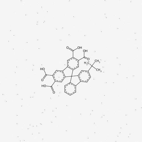 CC(C)(C)c1ccc2c(c1)C1(c3ccccc3-2)c2cc(C(=O)O)c(C(=O)O)cc2-c2cc(C(=O)O)c(C(=O)O)cc21